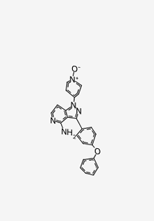 Nc1nccc2c1c(-c1ccc(Oc3ccccc3)cc1)nn2-c1cc[n+]([O-])cc1